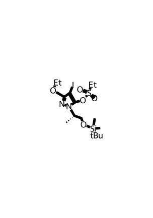 CCOc1nn([C@@H](C)CO[Si](C)(C)C(C)(C)C)c(OS(=O)(=O)CC)c1I